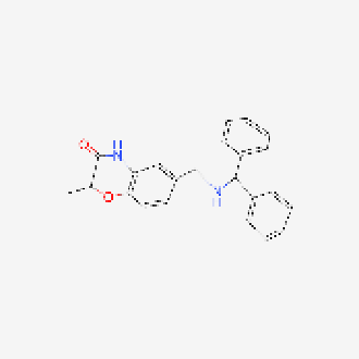 CC1Oc2ccc(CNC(c3ccccc3)c3ccccc3)cc2NC1=O